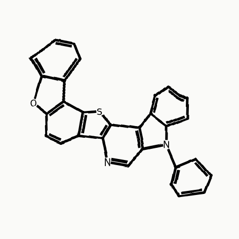 c1ccc(-n2c3ccccc3c3c4sc5c(ccc6oc7ccccc7c65)c4ncc32)cc1